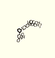 CC(C)(C)OC(=O)N1CCC2(CC1)CCN(c1cccc(C3CCC(=O)NC3=O)c1)CC2